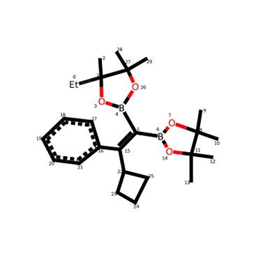 CCC1(C)OB(/C(B2OC(C)(C)C(C)(C)O2)=C(\c2ccccc2)C2CCC2)OC1(C)C